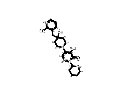 CCc1ncccc1CC1(O)CCN(c2cnn(C3CCCCO3)c(=O)c2Cl)CC1